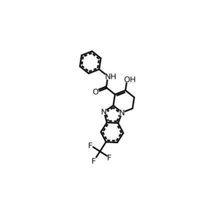 O=C(Nc1ccccc1)C1=C(O)CCn2c1nc1cc(C(F)(F)F)ccc12